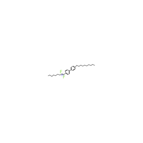 CCCCCCCCCCc1ccc(-c2ccc(/C(F)=C(\F)CCCCCCC)cc2)cc1